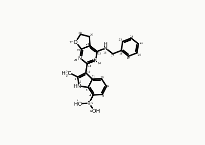 Cc1[nH]c2c(B(O)O)cccc2c1-c1nc(NCc2ccccc2)c2c(n1)OCC2